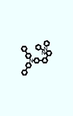 c1ccc(-c2ccc(N(c3ccc(-c4ccccc4)cc3)c3ccc(-c4cccc(-c5cccc6c5nc(-c5ccccc5)n6-c5ccccc5)c4)cc3)cc2)cc1